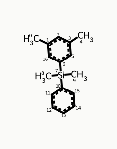 Cc1cc(C)cc([Si](C)(C)c2ccccc2)c1